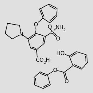 NS(=O)(=O)c1cc(C(=O)O)cc(N2CCCC2)c1Oc1ccccc1.O=C(Oc1ccccc1)c1ccccc1O